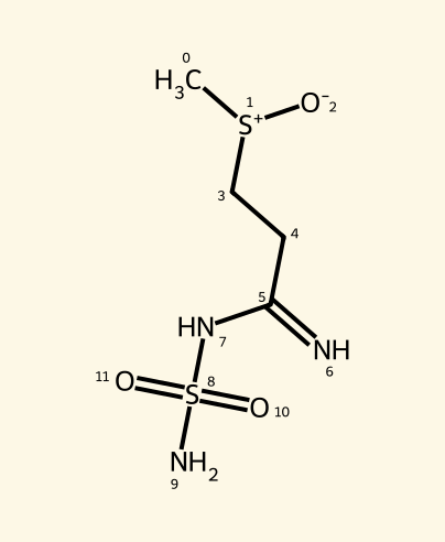 C[S+]([O-])CCC(=N)NS(N)(=O)=O